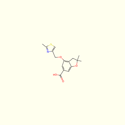 Cc1nc(COc2cc(C(=O)O)cc3c2CC(C)(C)O3)cs1